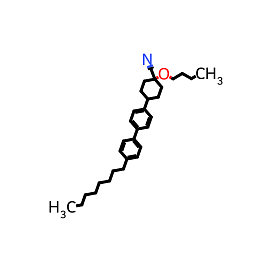 CCCCCCCCc1ccc(-c2ccc(C3CCC(C#N)(OCCCC)CC3)cc2)cc1